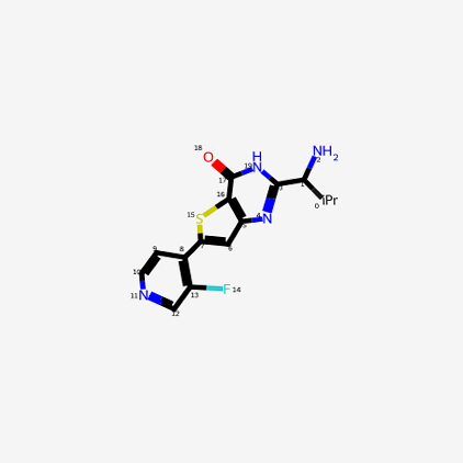 CC(C)C(N)c1nc2cc(-c3ccncc3F)sc2c(=O)[nH]1